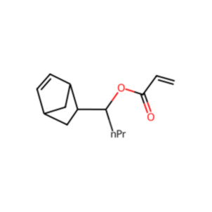 C=CC(=O)OC(CCC)C1CC2C=CC1C2